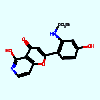 CCOC(=O)Nc1cc(O)ccc1-c1cc(=O)c2c(O)nccc2o1